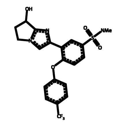 CNS(=O)(=O)c1ccc(Oc2ccc(C(F)(F)F)cc2)c(-c2cn3c(n2)C(O)CC3)c1